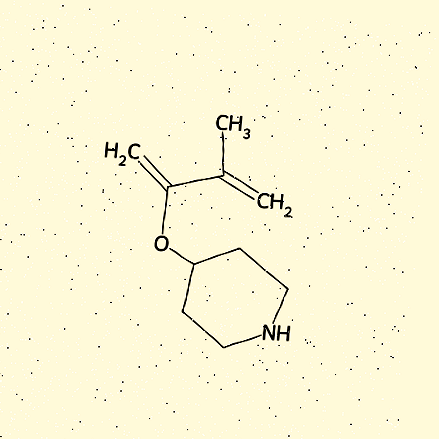 C=C(C)C(=C)OC1CCNCC1